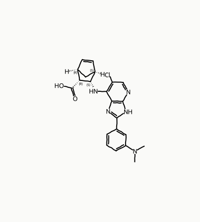 CN(C)c1cccc(-c2nc3c(N[C@@H]4[C@H](C(=O)O)[C@H]5C=C[C@@H]4C5)c(Cl)cnc3[nH]2)c1